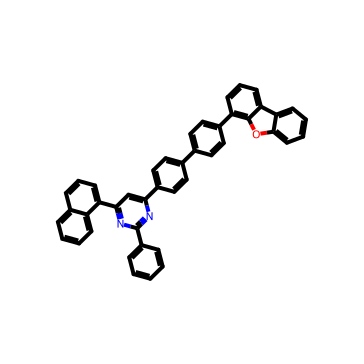 c1ccc(-c2nc(-c3ccc(-c4ccc(-c5cccc6c5oc5ccccc56)cc4)cc3)cc(-c3cccc4ccccc34)n2)cc1